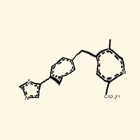 Cc1cnc(C(=O)O)cc1Cc1ccc(-c2cncs2)cc1